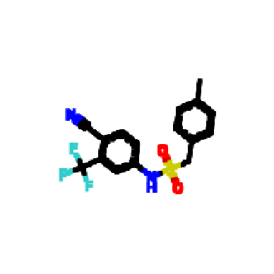 Cc1ccc(CS(=O)(=O)Nc2ccc(C#N)c(C(F)(F)F)c2)cc1